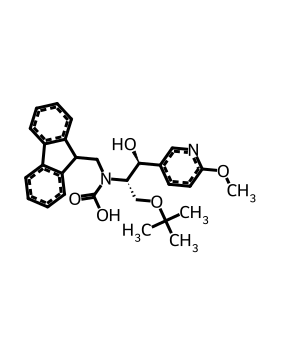 COc1ccc([C@H](O)[C@H](COC(C)(C)C)N(CC2c3ccccc3-c3ccccc32)C(=O)O)cn1